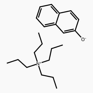 CCC[N+](CCC)(CCC)CCC.[O-]c1ccc2ccccc2c1